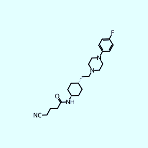 N#CCCCC(=O)N[C@H]1CC[C@H](CCN2CCN(c3ccc(F)cc3)CC2)CC1